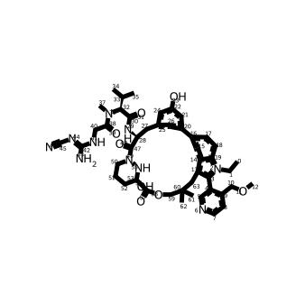 CCn1c(-c2cnccc2COC)c2c3cc(ccc31)-c1cc(O)cc(c1)C[C@H](NC(=O)[C@H](C(C)C)N(C)C(=O)CN/C(N)=N/C#N)C(=O)N1CCC[C@@](O)(N1)C(=O)OCC(C)(C)C2